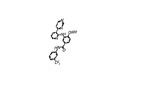 COc1ccc(C(=O)Nc2cccc(C(F)(F)F)c2)cc1Nc1ncccc1-c1ccncn1